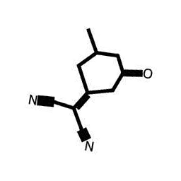 CC1CC(=O)CC(=C(C#N)C#N)C1